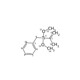 C=[C](C)[Ti]([CH2]c1ccccc1)([O]C)[O]C